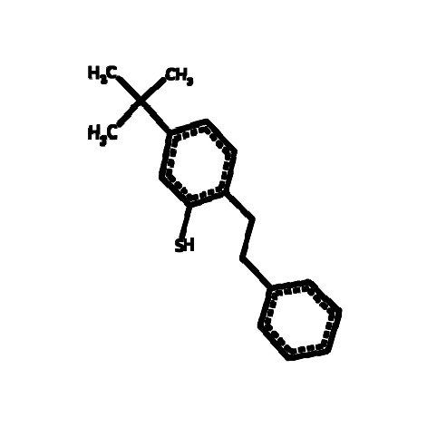 CC(C)(C)c1ccc(CCc2ccccc2)c(S)c1